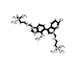 COc1c(-c2cn(COCC[Si](C)(C)C)c3nc(Cl)ccc23)ccc2c1ncn2COCC[Si](C)(C)C